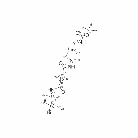 CC(C)(C)OC(=O)NCc1ccc(NC(=O)C23CC(C(=O)Nc4ccc(Br)c(F)c4)(C2)C3)cc1